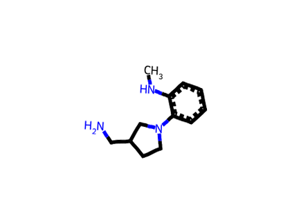 CNc1ccccc1N1CCC(CN)C1